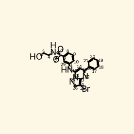 O=S(=O)(NCCO)c1cccc(Nc2cc(-c3ccccc3)nc3c(Br)cnn23)c1